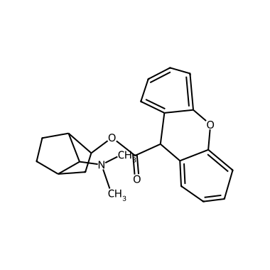 CN(C)C1C2CCC1C(OC(=O)C1c3ccccc3Oc3ccccc31)C2